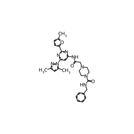 Cc1cc(C)n(-c2cc(NC(=O)CN3CCN(C(=O)NCc4ccccc4)CC3)nc(-c3ccc(C)o3)n2)n1